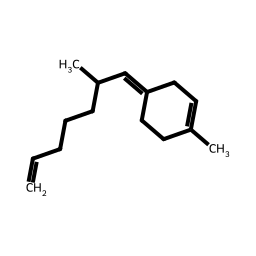 C=CCCCC(C)/C=C1/CC=C(C)CC1